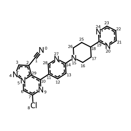 N#Cc1cnn2cc(Cl)nc(-c3ccc(N4CCC(c5ncccn5)CC4)nc3)c12